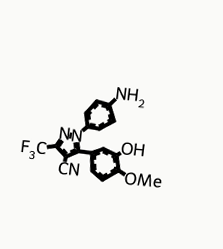 COc1ccc(-c2c(C#N)c(C(F)(F)F)nn2-c2ccc(N)cc2)cc1O